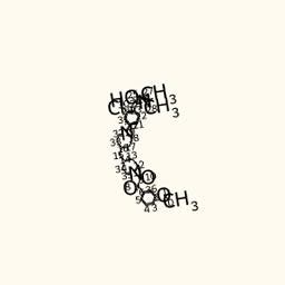 COc1cccc(C(=O)C(=O)N2CCC(CC3CCN(c4ccc(C(O)N(C)C)c(Cl)c4)CC3)CC2)c1